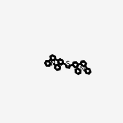 c1ccc(-n2c3ccccc3c3cccc(-c4ccc(-c5ccc(-c6ccc(-c7cccc8c9ccccc9n(-c9ccccc9)c78)cc6)s5)cc4)c32)cc1